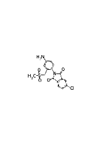 CS(=O)(=O)Cc1cc(N)ccc1N1C(=O)c2ccc(Cl)cc2C1=O